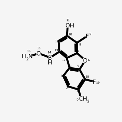 Cc1ccc2c(oc3c(F)c(O)cc(BON)c32)c1F